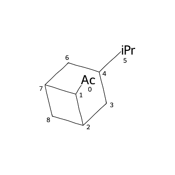 CC(=O)C1C2CC(C(C)C)CC1C2